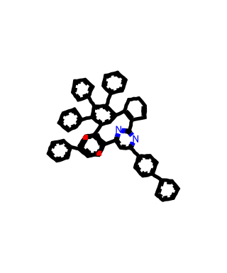 C1=CC(c2nc(C3=CC=C(c4ccccc4)CC3)cc(-c3ccc(-c4ccccc4)cc3)n2)=C(c2cc(-c3ccccc3)c(-c3ccccc3)c(-c3ccccc3)c2-c2ccccc2)CC1